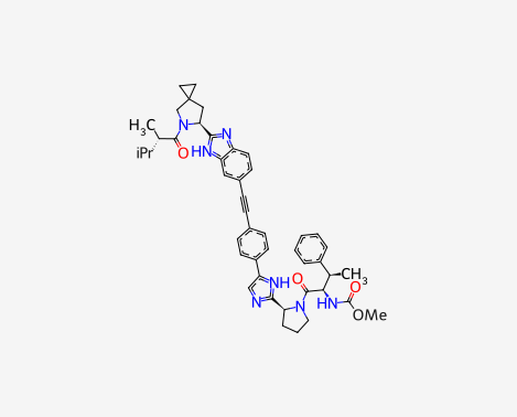 COC(=O)N[C@@H](C(=O)N1CCC[C@H]1c1ncc(-c2ccc(C#Cc3ccc4nc([C@@H]5CC6(CC6)CN5C(=O)[C@@H](C)C(C)C)[nH]c4c3)cc2)[nH]1)[C@H](C)c1ccccc1